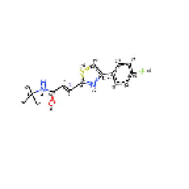 CC(C)(C)NC(=O)/C=C/c1nc(-c2ccc(F)cc2)cs1